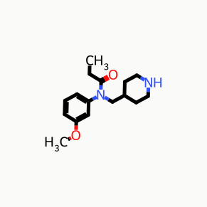 CCC(=O)N(CC1CCNCC1)c1cccc(OC)c1